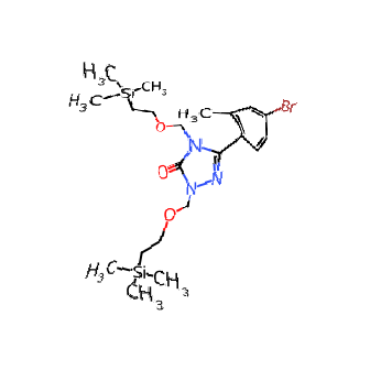 Cc1cc(Br)ccc1-c1nn(COCC[Si](C)(C)C)c(=O)n1COCC[Si](C)(C)C